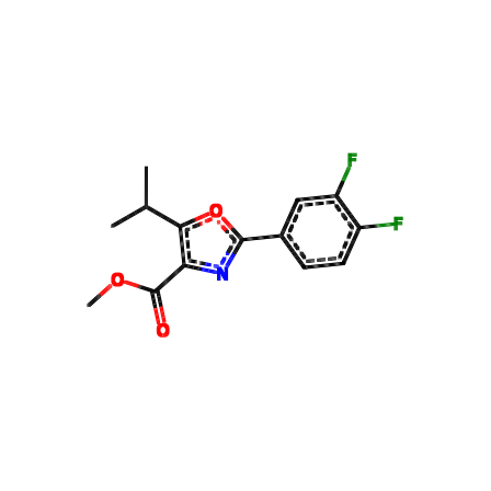 COC(=O)c1nc(-c2ccc(F)c(F)c2)oc1C(C)C